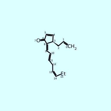 C=CC[C@@H]1C=CC(=O)/C1=C/C=C/C/C=C\CC